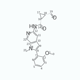 COc1ccccc1-c1cc2cc(NC(=O)[C@@H]3C[C@@H]3C=O)ncc2n1C